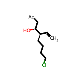 C=C[C@@H](CCCCCl)[C@@H](O)CC(C)=O